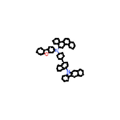 c1ccc2cc3c(cc2c1)c1ccccc1n3-c1ccc(-c2ccc(N(c3ccc4c(c3)oc3ccccc34)c3cc4c5ccccc5ccc4c4ccccc34)cc2)c2ccccc12